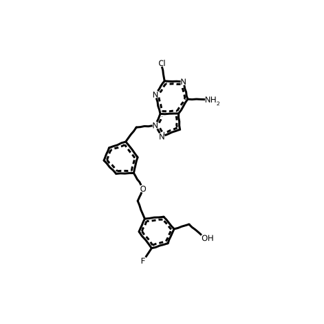 Nc1nc(Cl)nc2c1cnn2Cc1cccc(OCc2cc(F)cc(CO)c2)c1